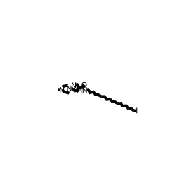 CN1CCN(c2ccc(C(=O)NCCCCCCCCCCCCCCCCCCI)cn2)CC1